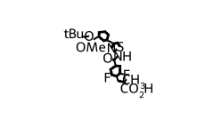 COc1c(COCC(C)(C)C)cccc1-c1csc(NC(=O)c2cc(F)c(/C=C(\C)C(=O)O)c(F)c2)n1